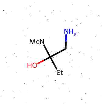 CCC(O)(CN)NC